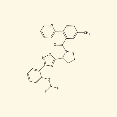 Cc1ccc(-c2ccccn2)c(C(=O)N2CCCC2c2nc(-c3ccccc3OC(F)F)no2)c1